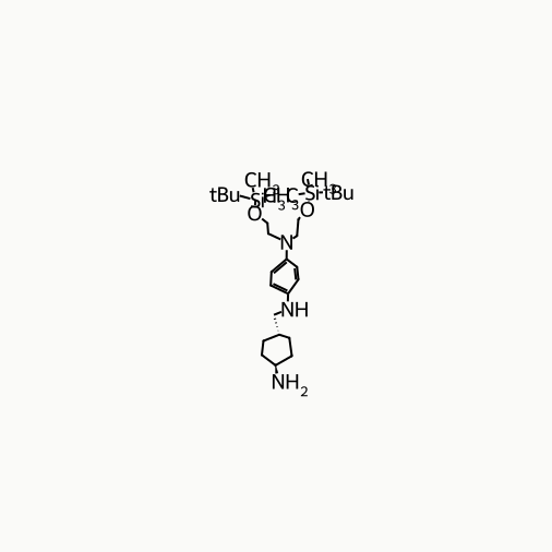 CC(C)(C)[Si](C)(C)OCCN(CCO[Si](C)(C)C(C)(C)C)c1ccc(NC[C@H]2CC[C@H](N)CC2)cc1